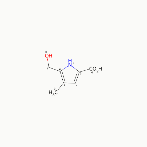 Cc1cc(C(=O)O)[nH]c1CO